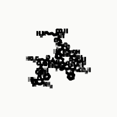 C[C@H](NC(=O)[C@H](C)NC(=O)[C@H](CCC(=O)O)NC(=O)[C@H](CC(=O)O)NC(=O)[C@@H]1CCCN1C(=O)[C@@H](N)Cc1c[nH]cn1)C(=O)N[C@@H](Cc1ccccc1)C(=O)N[C@@H](Cc1ccccc1)C(=O)N[C@@H](CC(=O)O)C(=O)N[C@H](C(=O)N[C@@H](C)C(=O)N[C@@H](CO)C(=O)N[C@H](C(=O)NCC(=O)N[C@@H](CCCCN)C(=O)O)[C@@H](C)O)[C@@H](C)O